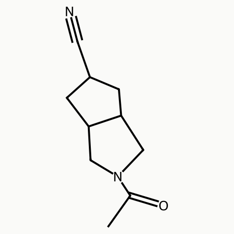 CC(=O)N1CC2CC(C#N)CC2C1